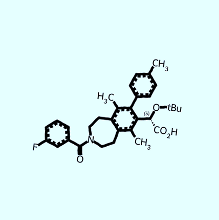 Cc1ccc(-c2c(C)c3c(c(C)c2[C@H](OC(C)(C)C)C(=O)O)CCN(C(=O)c2cccc(F)c2)CC3)cc1